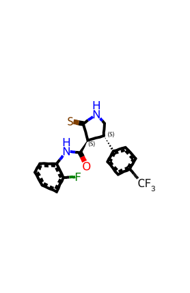 O=C(Nc1ccccc1F)[C@H]1C(=S)NC[C@@H]1c1ccc(C(F)(F)F)cc1